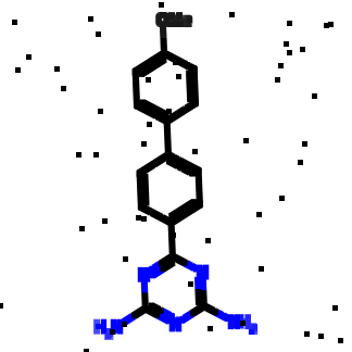 COc1ccc(-c2ccc(-c3nc(N)nc(N)n3)cc2)cc1